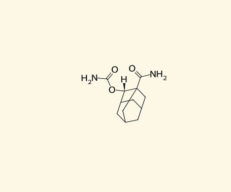 NC(=O)O[C@H]1C2CC3CC(C2)CC1(C(N)=O)C3